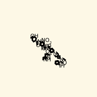 CC(C)c1ccccc1[C@@H]1COCCN1C1CC2(CCN(c3ccc(C(=O)NS(=O)(=O)c4cc5c(c([N+](=O)[O-])c4)N[C@@H](C4CCC(C)(O)CC4)CO5)c(Oc4cc5cc[nH]c5nc4F)c3)CC2)C1